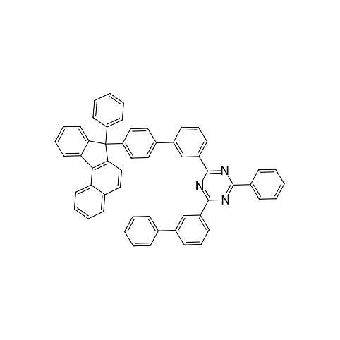 c1ccc(-c2cccc(-c3nc(-c4ccccc4)nc(-c4cccc(-c5ccc(C6(c7ccccc7)c7ccccc7-c7c6ccc6ccccc76)cc5)c4)n3)c2)cc1